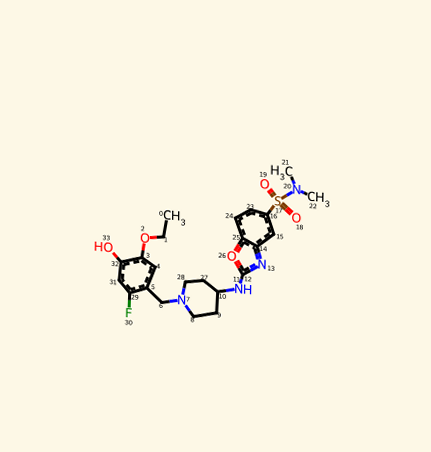 CCOc1cc(CN2CCC(Nc3nc4cc(S(=O)(=O)N(C)C)ccc4o3)CC2)c(F)cc1O